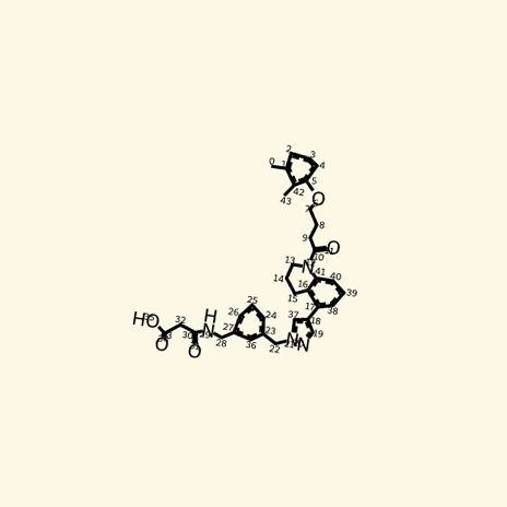 Cc1cccc(OCCCC(=O)N2CCCc3c(-c4cnn(Cc5cccc(CNC(=O)CC(=O)O)c5)c4)cccc32)c1C